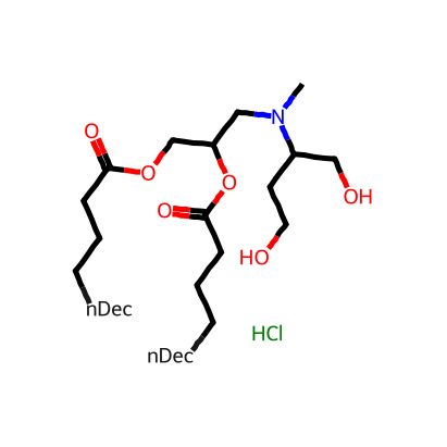 CCCCCCCCCCCCCC(=O)OCC(CN(C)C(CO)CCO)OC(=O)CCCCCCCCCCCCC.Cl